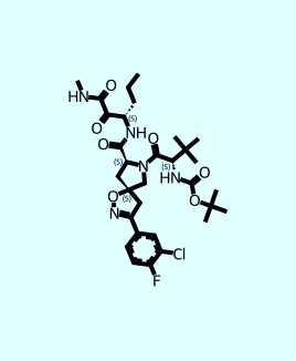 CCC[C@H](NC(=O)[C@@H]1C[C@]2(CC(c3ccc(F)c(Cl)c3)=NO2)CN1C(=O)[C@@H](NC(=O)OC(C)(C)C)C(C)(C)C)C(=O)C(=O)NC